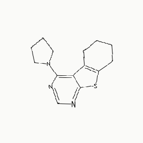 c1nc(N2CCCC2)c2c3c(sc2n1)CCCC3